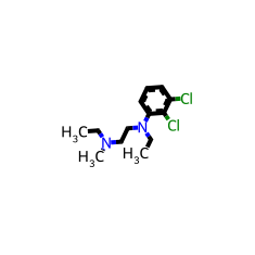 CCN(C)CCN(CC)c1cccc(Cl)c1Cl